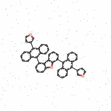 c1cc(-c2c3ccccc3c(-c3ccoc3)c3ccccc23)c2c(c1)oc1c(-c3c4ccccc4c(-c4ccoc4)c4ccccc34)cccc12